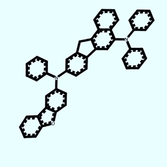 c1ccc(N(c2ccc3c(c2)Cc2c-3cc(N(c3ccccc3)c3ccccc3)c3ccccc23)c2ccc3oc4ccccc4c3c2)cc1